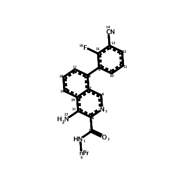 CCCNC(=O)c1ncc2c(-c3cccc(C#N)c3F)cccc2c1N